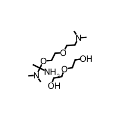 CN(C)CCOCCOC(C)(N)N(C)C.OCCOCCO